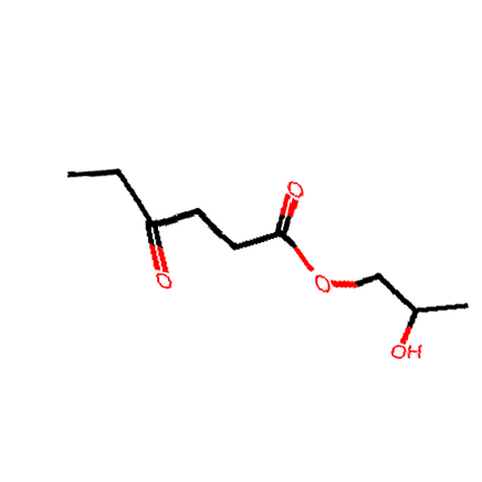 CCC(=O)CCC(=O)OCC(C)O